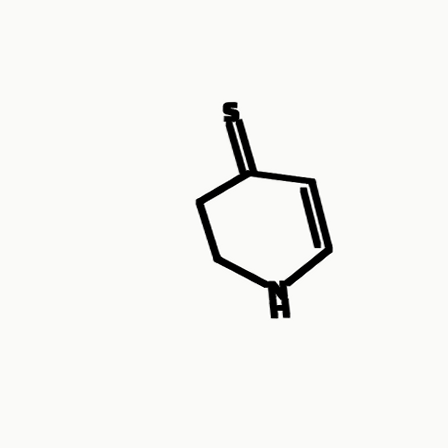 S=C1C=CNCC1